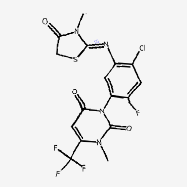 [CH2]N1C(=O)CS/C1=N\c1cc(-n2c(=O)cc(C(F)(F)F)n(C)c2=O)c(F)cc1Cl